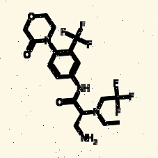 CCN(CC(F)(F)F)[C@@H](CN)C(=O)Nc1ccc(N2CCOCC2=O)c(C(F)(F)F)c1